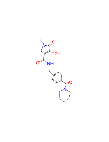 CN1CC(C(=O)NCc2ccc(C(=O)N3CCCCC3)cc2)=C(O)C1=O